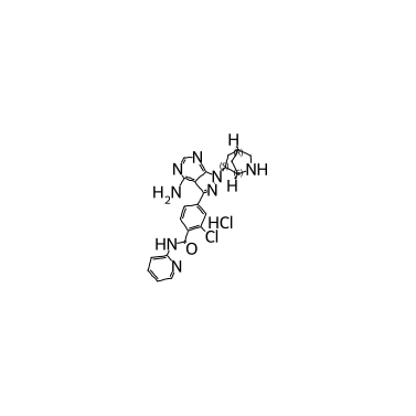 Cl.Nc1ncnc2c1c(-c1ccc(C(=O)Nc3ccccn3)c(Cl)c1)nn2[C@H]1C[C@@H]2CN[C@H]1C2